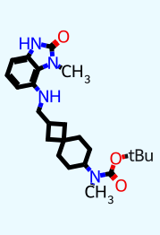 CN(C(=O)OC(C)(C)C)C1CCC2(CC1)CC(CNc1cccc3[nH]c(=O)n(C)c13)C2